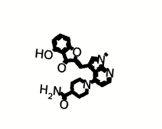 Cn1cc(C=C2Oc3cccc(O)c3C2=O)c2c(N3CCC(C(N)=O)CC3)ccnc21